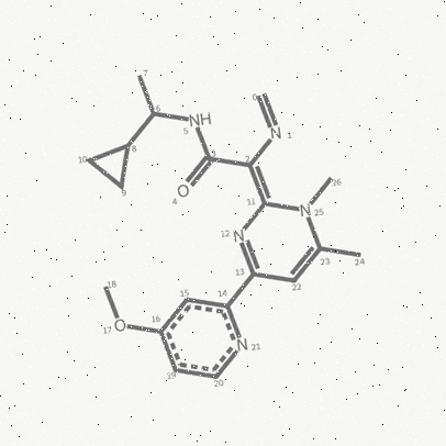 C=N/C(C(=O)NC(C)C1CC1)=C1/N=C(c2cc(OC)ccn2)C=C(C)N1C